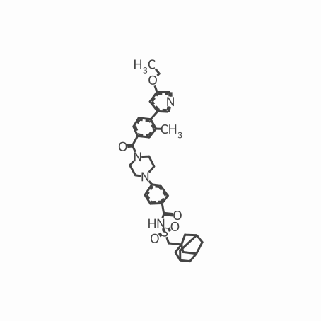 CCOc1cncc(-c2ccc(C(=O)N3CCN(c4ccc(C(=O)NS(=O)(=O)CC56CC7CC(CC(C7)C5)C6)cc4)CC3)cc2C)c1